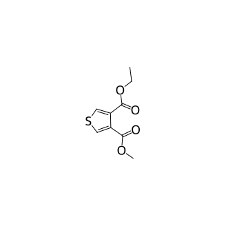 CCOC(=O)c1cscc1C(=O)OC